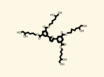 O=C(OCCCCCC(O)CO)c1cc(C(=O)OCCCCC(O)CO)cc(-c2ccc(-c3cc(C(=O)OCCCCC(O)CO)cc(C(=O)OCCCCC(O)CO)c3)s2)c1